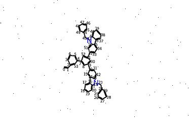 C=Cc1cccc(-c2cc(-c3ccc4c(c3)c3ccccc3n4Cc3ccccc3)cc(-c3ccc4c5ccccc5n(Cc5ccccc5)c4c3)c2)c1